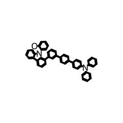 c1ccc(N(c2ccccc2)c2ccc(-c3ccc(-c4cccc(-c5cccc6c7cccc8c7n(c56)-c5ccccc5O8)c4)cc3)cc2)cc1